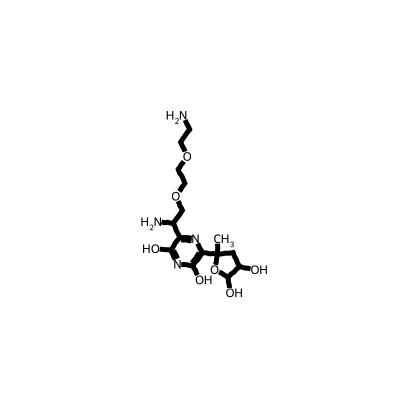 CC1(c2nc(C(N)COCCOCCN)c(O)nc2O)CC(O)C(O)O1